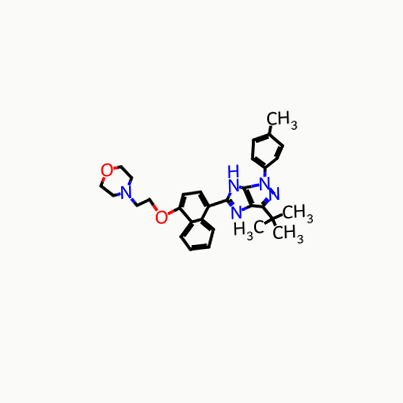 Cc1ccc(-n2nc(C(C)(C)C)c3nc(-c4ccc(OCCN5CCOCC5)c5ccccc45)[nH]c32)cc1